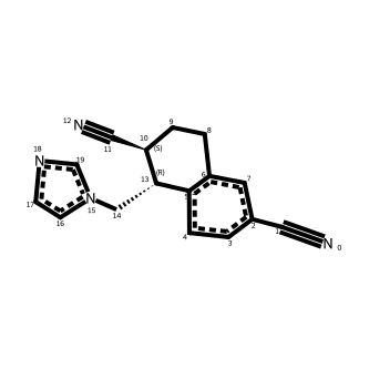 N#Cc1ccc2c(c1)CC[C@H](C#N)[C@H]2Cn1ccnc1